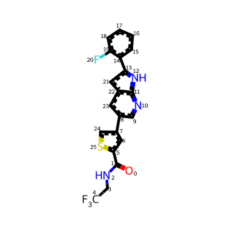 O=C(NCC(F)(F)F)c1cc(-c2cnc3[nH]c(-c4ccccc4F)cc3c2)cs1